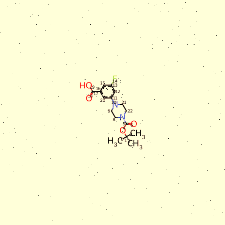 CC(C)(C)OC(=O)N1CCN(c2cc(F)cc(C(=O)O)c2)CC1